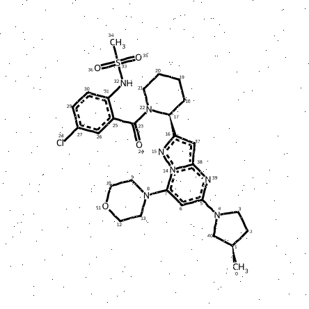 C[C@@H]1CCN(c2cc(N3CCOCC3)n3nc([C@@H]4CCCCN4C(=O)c4cc(Cl)ccc4NS(C)(=O)=O)cc3n2)C1